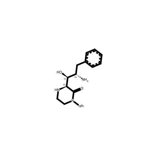 CCCN1CCN[C@@H]([C@@H](O)[C@@H](N)Cc2ccccc2)C1=O